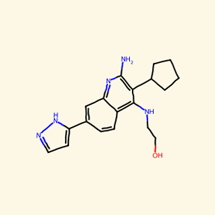 Nc1nc2cc(-c3ccn[nH]3)ccc2c(NCCO)c1C1CCCC1